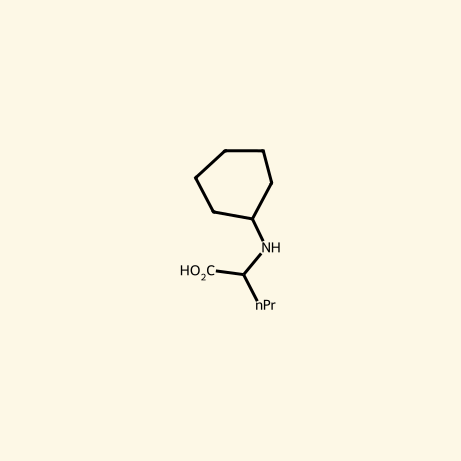 CCCC(NC1CCCCC1)C(=O)O